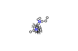 [2H]c1c([2H])c([2H])c2c(c1[2H])c1c([2H])c(-c3ccc(N(c4ccc(-c5cccc(-c6ccccc6)c5)cc4)c4cccc5ccccc45)cc3)c([2H])c([2H])c1n2-c1ccc(-c2ccccc2)cc1